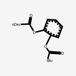 CCCCCCCCCCC(=O)Oc1ccccc1OC(=O)C(C)(C)C